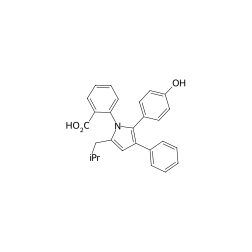 CC(C)Cc1cc(-c2ccccc2)c(-c2ccc(O)cc2)n1-c1ccccc1C(=O)O